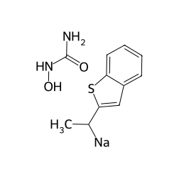 C[CH]([Na])c1cc2ccccc2s1.NC(=O)NO